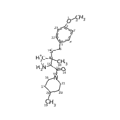 COc1ccc(CSC(C)(C)C(N)C(=O)N2CCC(C)CC2)cc1